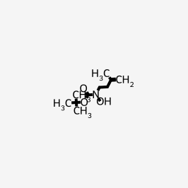 C=C(C)CCN(O)C(=O)OC(C)(C)C